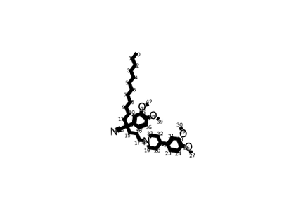 CCCCCCCCCCCCC(C#N)(CCCN1CCC(c2ccc(OC)c(OC)c2)CC1)c1ccc(OC)c(OC)c1